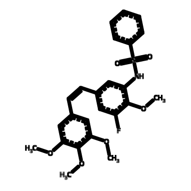 COc1cc(/C=C\c2cc(F)c(OC)c(NS(=O)(=O)c3ccccc3)c2)cc(OC)c1OC